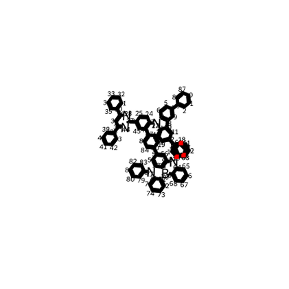 c1ccc(-c2ccc3c(c2)c2cc(-c4ccccc4)ccc2n3-c2ccc(-c3nc(-c4ccccc4)cc(-c4ccccc4)n3)cc2-c2ccc(-c3cc4c5c(c3)N(c3ccccc3)c3ccccc3B5c3ccccc3N4c3ccccc3)cc2)cc1